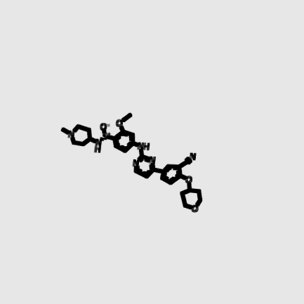 COc1cc(Nc2nccc(-c3ccc(OC4CCOCC4)c(C#N)c3)n2)ccc1[S+]([O-])NC1CCN(C)CC1